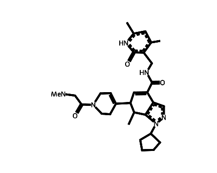 CNCC(=O)N1CC=C(C2C=C(C(=O)NCc3c(C)cc(C)[nH]c3=O)c3cnn(C4CCCC4)c3C2C)CC1